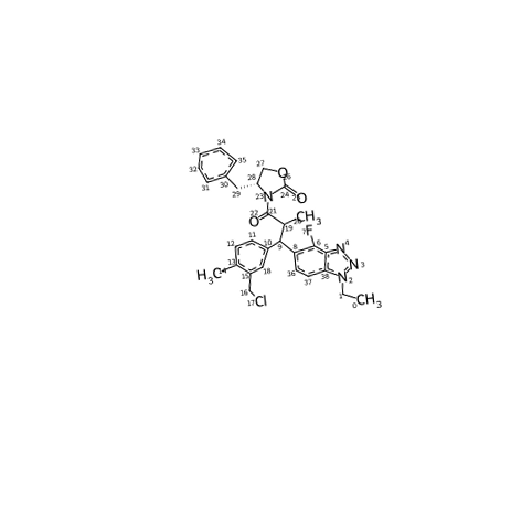 CCn1nnc2c(F)c(C(c3ccc(C)c(CCl)c3)C(C)C(=O)N3C(=O)OC[C@H]3Cc3ccccc3)ccc21